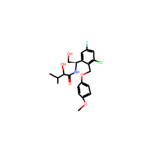 COc1ccc(OCc2c(Cl)cc(F)cc2[C@H](CO)NC(=O)C(O)C(C)C)cc1